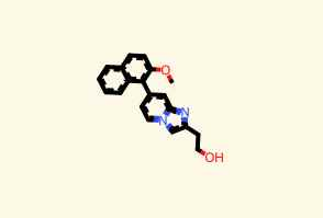 COc1ccc2ccccc2c1-c1ccn2cc(CCO)nc2c1